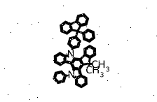 CC1(C)c2ccccc2-c2c1c1c3ccccc3n(-c3ccccc3)c1c1c3ccccc3n(-c3ccc(C4(c5ccccc5)c5ccccc5-c5ccccc54)cc3)c21